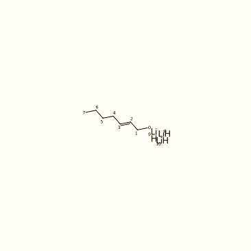 CCC=CCCCC.[LiH].[LiH].[LiH]